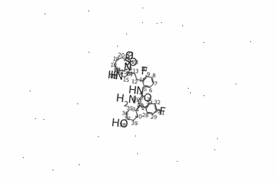 N[C@H](C(=O)Nc1cccc(F)c1CC[C@H]1CN[C@@H]2CCCS(=O)(=O)N1C2)[C@@H](c1ccc(F)cc1)[C@H]1CC[C@H](O)CC1